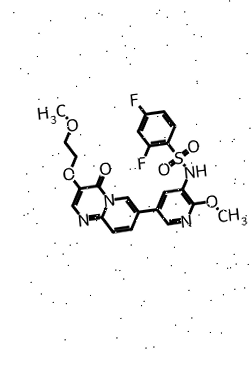 COCCOc1cnc2ccc(-c3cnc(OC)c(NS(=O)(=O)c4ccc(F)cc4F)c3)cn2c1=O